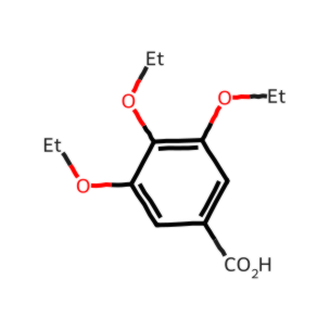 CCOc1cc(C(=O)O)cc(OCC)c1OCC